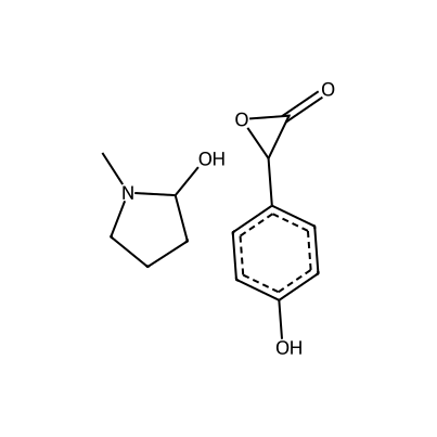 CN1CCCC1O.O=C1OC1c1ccc(O)cc1